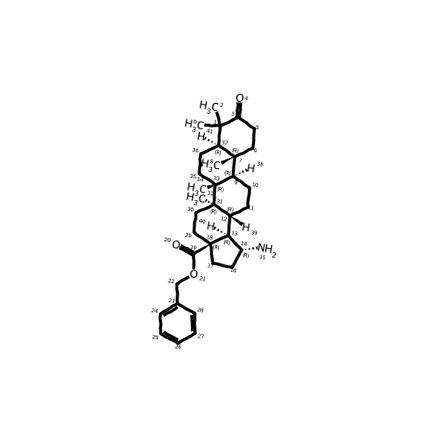 CC1(C)C(=O)CC[C@]2(C)[C@H]3CC[C@@H]4[C@H]5[C@H](N)CC[C@]5(C(=O)OCc5ccccc5)CC[C@@]4(C)[C@]3(C)CC[C@@H]12